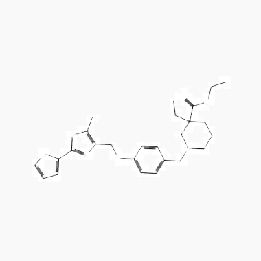 CCOC(=O)C1(CC)CCCN(Cc2ccc(OCc3nc(-c4cccs4)oc3C)cc2)C1